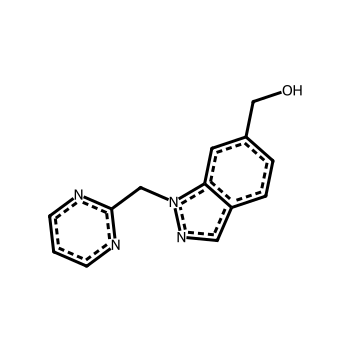 OCc1ccc2cnn(Cc3ncccn3)c2c1